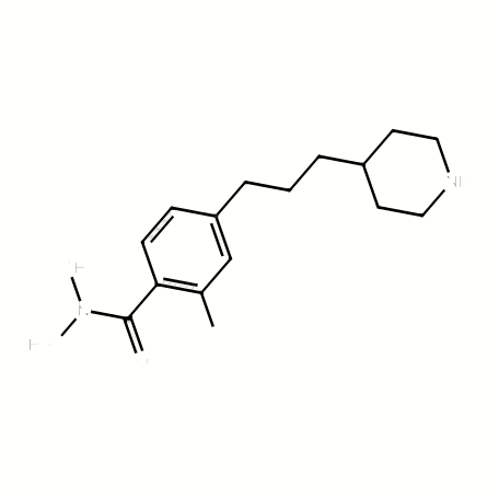 CN(C)C(=O)c1ccc(CCCC2CCNCC2)cc1Cl